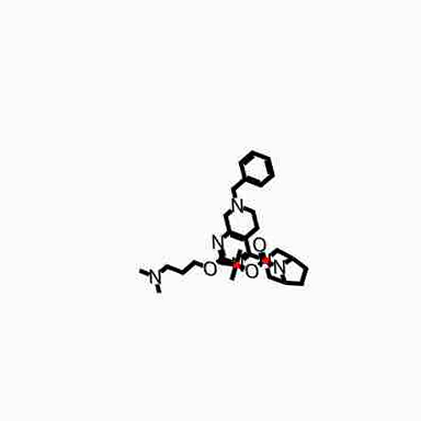 CN(C)CCCOc1nc2c(c(N3CC4CCC(C3)N4C(=O)OC(C)(C)C)n1)CCN(Cc1ccccc1)C2